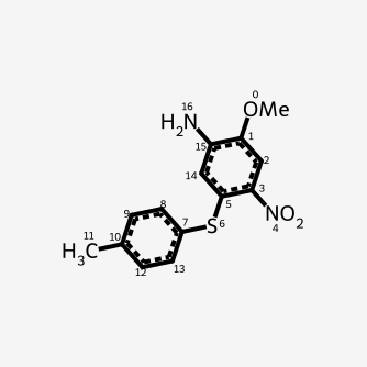 COc1cc([N+](=O)[O-])c(Sc2ccc(C)cc2)cc1N